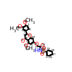 COc1ccc(-c2cc(=O)c3c(OC)cc(OCC(=O)NS(=O)(=O)c4ccccc4)cc3o2)cc1OC